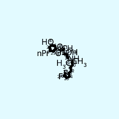 CCCc1cc(O)cc(S(=O)(=O)N(C)C[C@H](O)CNC(C)(C)CCCC2CC=C(F)S2)c1